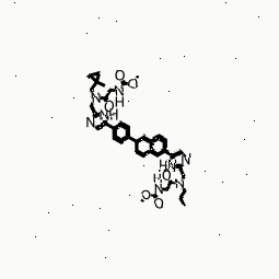 CCCN(Cc1ncc(-c2ccc3cc(-c4ccc(-c5cnc(CN(CC6(C)CC6)C(=O)CNC(=O)OC)[nH]5)cc4)ccc3c2)[nH]1)C(=O)CNC(=O)OC